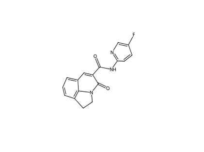 O=C(Nc1ccc(F)cn1)c1cc2cccc3c2n(c1=O)CC3